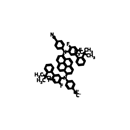 [C-]#[N+]c1ccc(N(c2cc(-c3ccccc3C(C)(C)C)c(F)cc2F)c2ccc3ccc4c(N(c5ccc(C#N)cc5)c5cc(-c6ccccc6C(C)(C)C)c(F)cc5F)ccc5ccc2c3c54)cc1